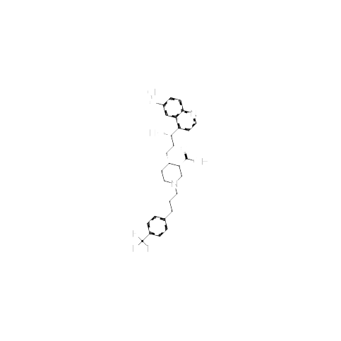 COc1ccc2nccc([C@H](O)CC[C@@H]3CCN(CCCc4ccc(C(F)(F)F)cc4)C[C@@H]3C(=O)O)c2c1